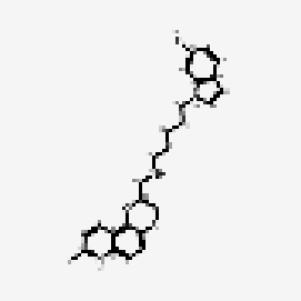 Cc1ccc2c3c(ccc2n1)OCC(CNCCCCCn1ccc2ccc(F)cc21)O3